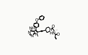 C=CC(=O)N[C@@H](C)C(=O)N1CCC(C#Cc2c(-c3ccc(Oc4ccccc4)cc3)c3c(N)ncnc3n2C)CC1